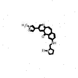 CCN1CCCC1CNc1ccc2ccc3ncc(-c4cnn(C)c4)cc3c(=O)c2c1